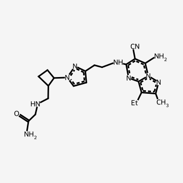 CCc1c(C)nn2c(N)c(C#N)c(NCCc3ccn(C4CCC4CNCC(N)=O)n3)nc12